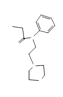 CCC(=O)N(CCN1CCOCC1)c1[c]cccc1